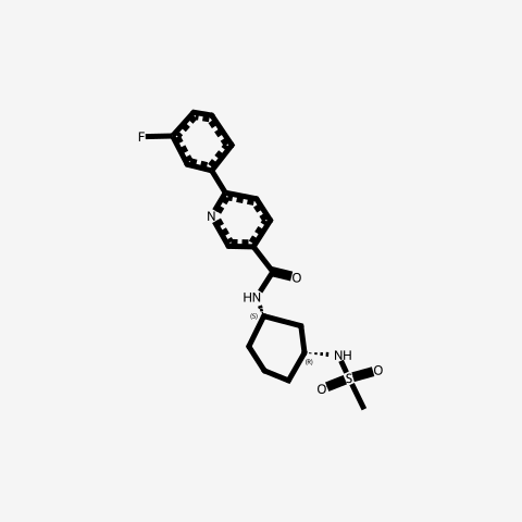 CS(=O)(=O)N[C@@H]1CCC[C@H](NC(=O)c2ccc(-c3cccc(F)c3)nc2)C1